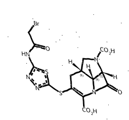 O=C(CBr)Nc1nnc(SC2=C(C(=O)O)N3C(=O)[C@@H]4[C@H]3[C@H](C2)CN4C(=O)O)s1